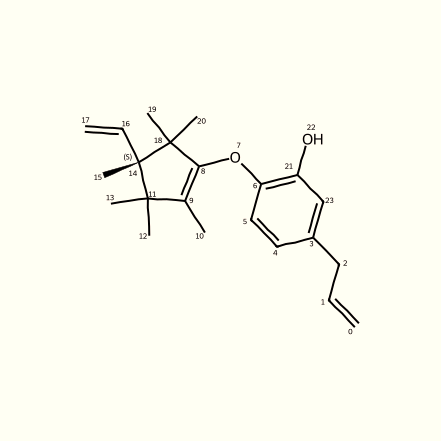 C=CCc1ccc(OC2=C(C)C(C)(C)[C@](C)(C=C)C2(C)C)c(O)c1